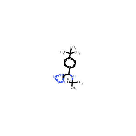 CC(C)(C)NC(c1ccc(C(C)(C)C)cc1)c1nnn[nH]1